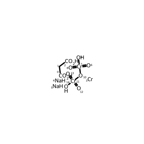 O=C(O)CC(=O)O.[Cr].[NaH].[NaH].[O]=[Cr](=[O])([OH])[O][Cr](=[O])(=[O])[OH]